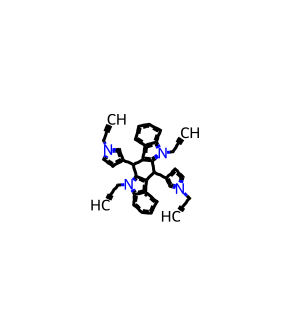 C#CCn1ccc(C2c3c(n(CC#C)c4ccccc34)C(c3ccn(CC#C)c3)c3c2n(CC#C)c2ccccc32)c1